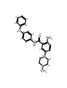 CN1CCN(c2ccc([N+](=O)[O-])c(C(=O)Nc3ccc(Oc4ccccc4)cc3)c2)CC1